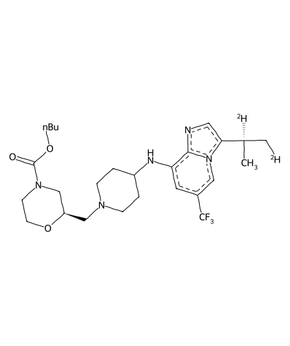 [2H]C[C@@]([2H])(C)c1cnc2c(NC3CCN(C[C@@H]4CN(C(=O)OCCCC)CCO4)CC3)cc(C(F)(F)F)cn12